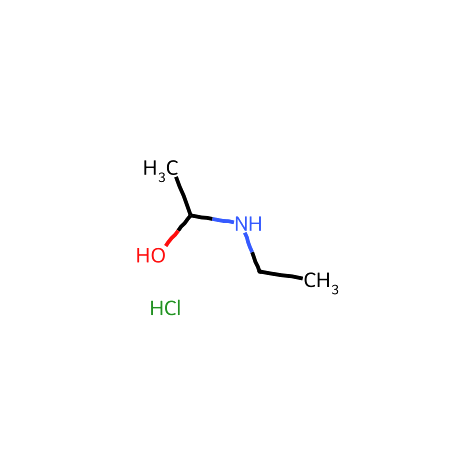 CCNC(C)O.Cl